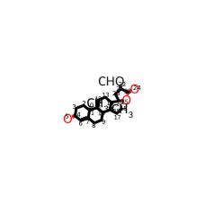 CC12CCC(=O)C=C1CCC1C2=CCC2(C)C1CC[C@@]21CC(C=O)C(=O)O1